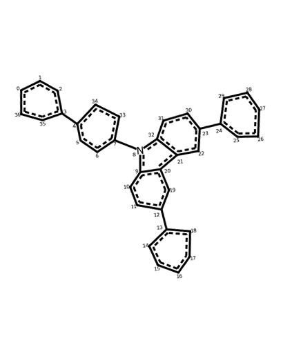 c1ccc(-c2ccc(-n3c4ccc(-c5ccccc5)cc4c4cc(-c5ccccc5)ccc43)cc2)cc1